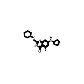 O=c1[nH]c(CSC2CCCCC2)nc2cc(NC3CCCC3)cc(F)c12